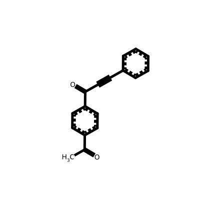 CC(=O)c1ccc(C(=O)C#Cc2ccccc2)cc1